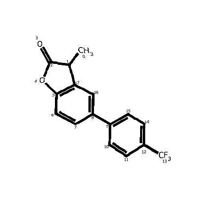 CC1C(=O)Oc2ccc(-c3ccc(C(F)(F)F)cc3)cc21